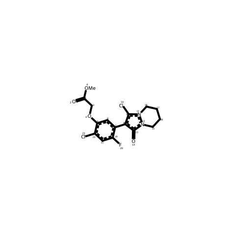 COC(=O)COc1cc(-c2c(Cl)n3n(c2=O)CCCC3)c(F)cc1Cl